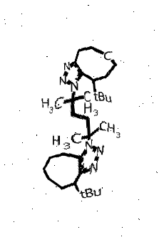 CC(C)(C)C1CCCCCc2c1nnn2C(C)(C)CCC(C)(C)n1nnc2c1C(C(C)(C)C)CCCCC2